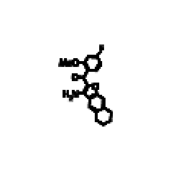 COc1cc(F)ccc1C(=O)c1oc2cc3c(cc2c1N)CCCC3